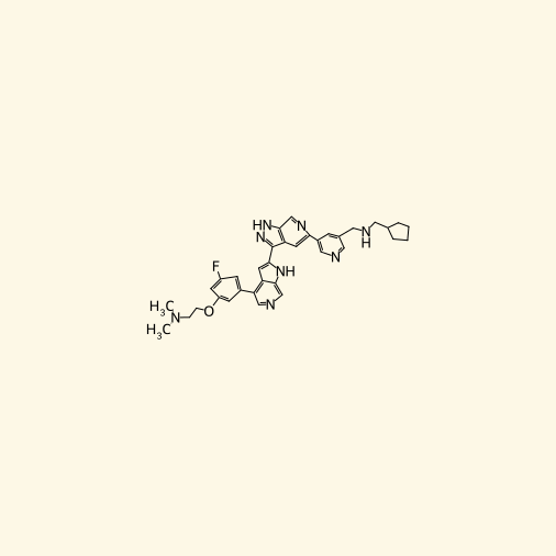 CN(C)CCOc1cc(F)cc(-c2cncc3[nH]c(-c4n[nH]c5cnc(-c6cncc(CNCC7CCCC7)c6)cc45)cc23)c1